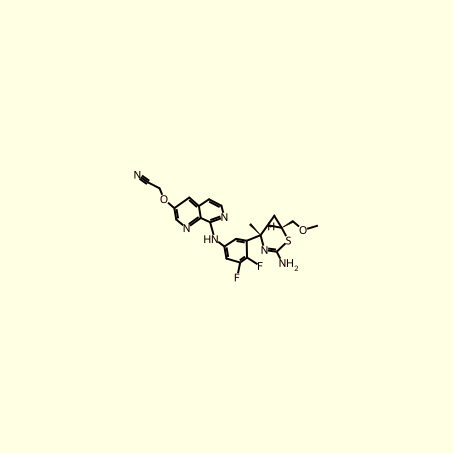 COC[C@]12C[C@H]1[C@@](C)(c1cc(Nc3nccc4cc(OCC#N)cnc34)cc(F)c1F)N=C(N)S2